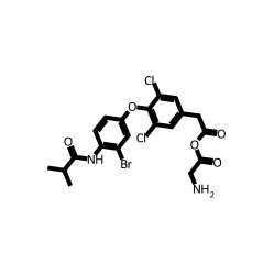 CC(C)C(=O)Nc1ccc(Oc2c(Cl)cc(CC(=O)OC(=O)CN)cc2Cl)cc1Br